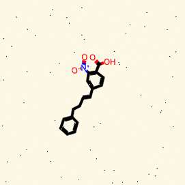 O=C(O)c1ccc(/C=C/CCc2ccccc2)cc1[N+](=O)[O-]